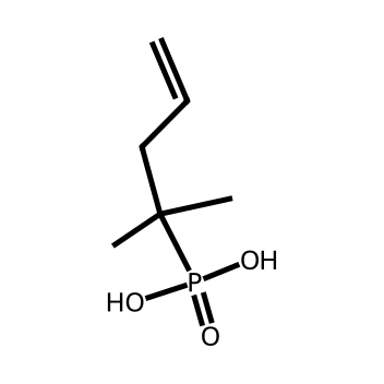 C=CCC(C)(C)P(=O)(O)O